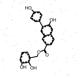 O=C(OCc1cccc(O)c1O)c1ccc2cc(O)c(-c3ccc(O)cc3)cc2c1